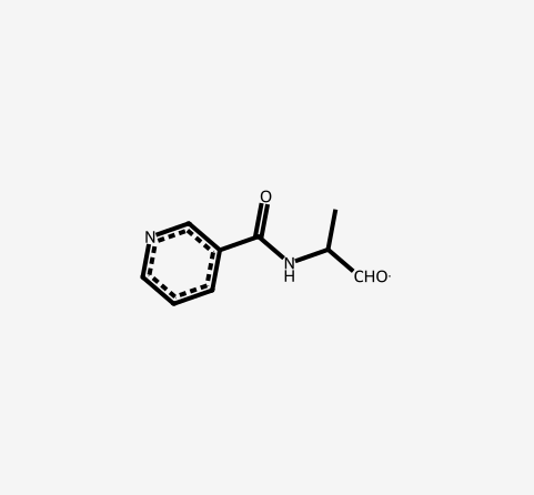 CC([C]=O)NC(=O)c1cccnc1